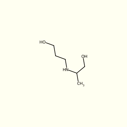 CC(CO)NCCCO